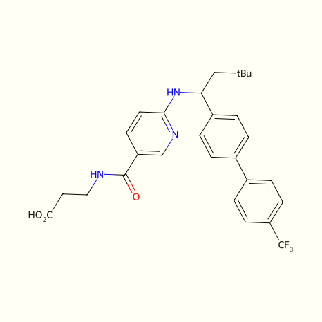 CC(C)(C)CC(Nc1ccc(C(=O)NCCC(=O)O)cn1)c1ccc(-c2ccc(C(F)(F)F)cc2)cc1